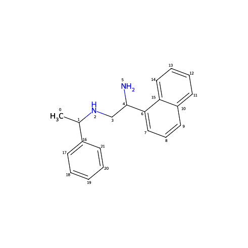 CC(NCC(N)c1cccc2ccccc12)c1ccccc1